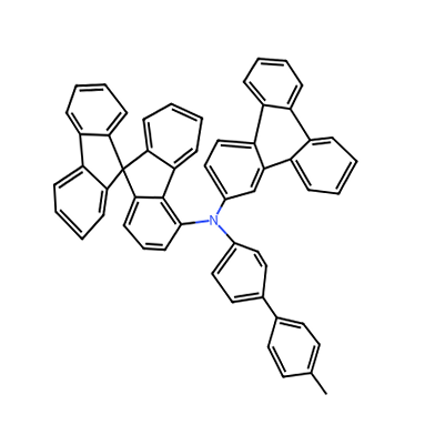 Cc1ccc(-c2ccc(N(c3ccc4c5ccccc5c5ccccc5c4c3)c3cccc4c3-c3ccccc3C43c4ccccc4-c4ccccc43)cc2)cc1